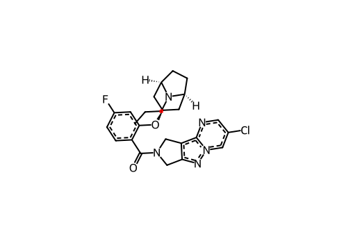 CCCN1[C@@H]2CC[C@H]1C[C@@H](Oc1cc(F)ccc1C(=O)N1Cc3nn4cc(Cl)cnc4c3C1)C2